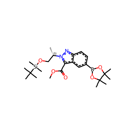 COC(=O)c1c2cc(B3OC(C)(C)C(C)(C)O3)ccc2nn1[C@@H](C)CO[Si](C)(C)C(C)(C)C